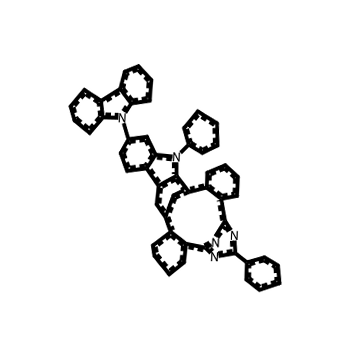 c1ccc(-c2nc3nc(n2)c2ccccc2c2cc(cc4c5ccc(-n6c7ccccc7c7ccccc76)cc5n(-c5ccccc5)c24)c2ccccc32)cc1